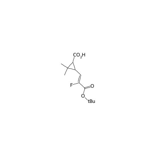 CC(C)(C)OC(=O)/C(F)=C/C1C(C(=O)O)C1(C)C